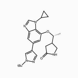 C[C@@H](Oc1cc(-c2cnn(C(C)(C)C)c2)cc2ncn(C3CC3)c12)C1CNC(=O)C1